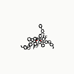 C=Cc1ccc(Oc2ccc(C3(c4cc(F)c(F)cc4F)C4=C(CCC=C4)c4ccc(N(c5ccc(-c6cccc(-c7ccccc7)c6)cc5)c5ccc6c(c5)C(c5ccc(Oc7ccc(C=C)cc7)cc5)(c5cc(F)c(F)cc5F)c5ccccc5-6)cc43)cc2)cc1